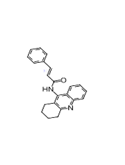 O=C(/C=C/c1ccccc1)Nc1c2c(nc3ccccc13)CCCC2